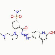 Cc1cc(O)nc2ccc(N=[N+]=NC(=O)c3cc(S(=O)(=O)N(C)C)ccc3N3CCCC3CN(C)C)cc12